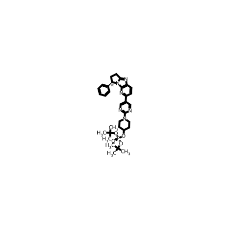 CC(C)(C)OP(=O)(OC1CCN(c2ncc(-c3ccc4nc5n(c4n3)[C@@H](c3ccccc3)CC5)cn2)CC1)OC(C)(C)C